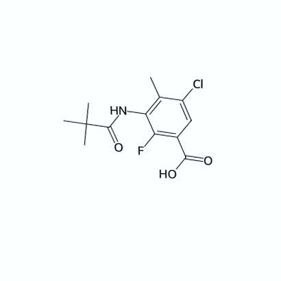 Cc1c(Cl)cc(C(=O)O)c(F)c1NC(=O)C(C)(C)C